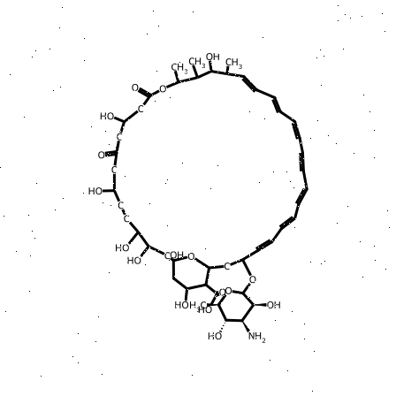 CC1/C=C/C=C/C=C/C=C/C=C/C=C/C=C/C(OC2O[C@H](C)[C@@H](O)[C@H](N)[C@@H]2O)CC2OC(O)(CC(O)C(O)CCC(O)CC(=O)CC(O)CC(=O)OC(C)C(C)C1O)CC(O)C2C(=O)O